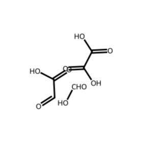 O=C(O)C(=O)O.O=CC(=O)O.O=CO